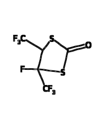 O=C1SC(C(F)(F)F)C(F)(C(F)(F)F)S1